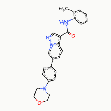 Cc1ccccc1NC(=O)c1cnn2cc(-c3ccc(N4CCOCC4)cc3)ccc12